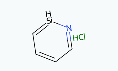 Cl.c1cc[siH]nc1